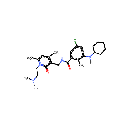 CCN(c1cc(Cl)cc(C(=O)NCc2c(C)cc(C)n(CCN(C)C)c2=O)c1C)C1CCCCC1